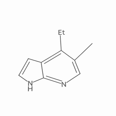 CCc1c(C)cnc2[nH]ccc12